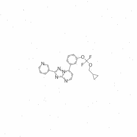 FC(F)(OCC1CC1)Oc1cccc(-c2ccnc3nc(-c4cccnc4)nn23)c1